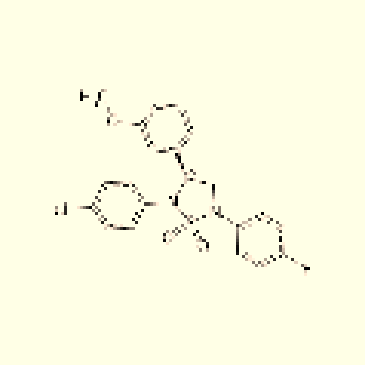 COc1cccc([C@H]2CN(c3ccc(F)cc3)S(=O)(=O)N2c2ccc(Cl)cc2)c1